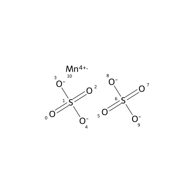 O=S(=O)([O-])[O-].O=S(=O)([O-])[O-].[Mn+4]